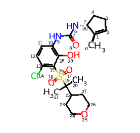 CC1=CCC[C@H]1NC(=O)Nc1ccc(Cl)c(S(=O)(=O)C(C)(C)C2CCOCC2)c1O